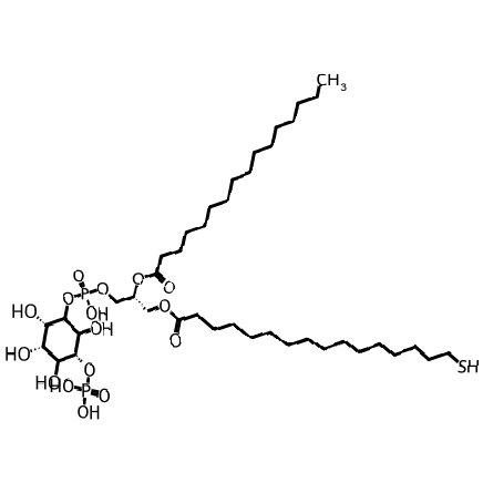 CCCCCCCCCCCCCCCC(=O)O[C@H](COC(=O)CCCCCCCCCCCCCCCS)COP(=O)(O)OC1C(O)[C@H](OP(=O)(O)O)C(O)[C@H](O)[C@@H]1O